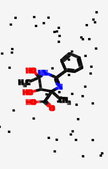 CC1(O)NC(c2ccccc2)=NC(C)(C(=O)O)C1O